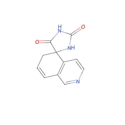 O=C1NC(=O)C2(CC=Cc3cnccc32)N1